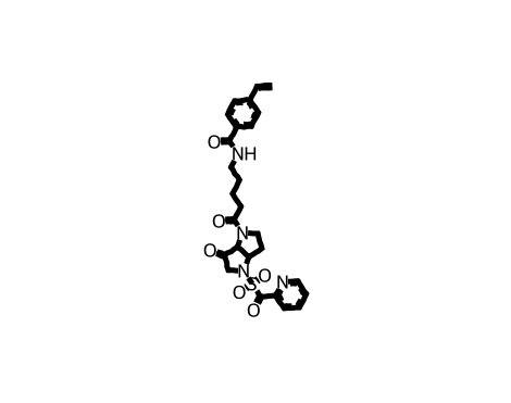 C=Cc1ccc(C(=O)NCCCCC(=O)N2CCC3C2C(=O)CN3S(=O)(=O)C(=O)c2ccccn2)cc1